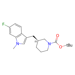 Cn1cc(C[C@@H]2CCCN(C(=O)OC(C)(C)C)C2)c2ccc(F)cc21